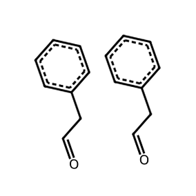 O=CCc1ccccc1.O=CCc1ccccc1